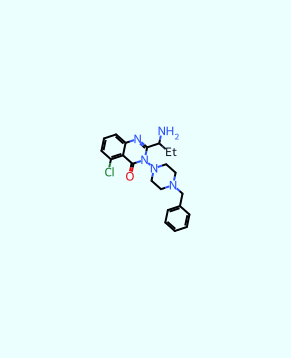 CCC(N)c1nc2cccc(Cl)c2c(=O)n1N1CCN(Cc2ccccc2)CC1